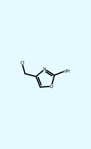 CCCc1nc(CCl)co1